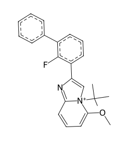 COC1=CC=CC2=NC(c3cccc(-c4ccccc4)c3F)=C[N+]12C(C)(C)C